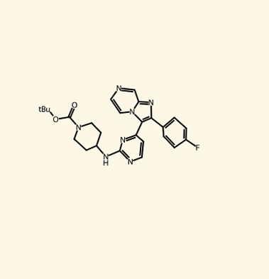 CC(C)(C)OC(=O)N1CCC(Nc2nccc(-c3c(-c4ccc(F)cc4)nc4cnccn34)n2)CC1